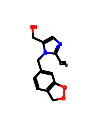 Cc1ncc(CO)n1Cc1ccc2c(c1)OOC2